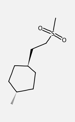 CS(=O)(=O)CC[C@H]1CC[C@H](C)CC1